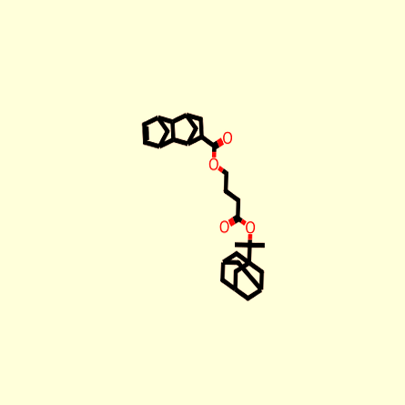 CC(C)(OC(=O)CCCOC(=O)C1CC2CC1C1C3C=CC(C3)C21)C12CC3CC(CC(C3)C1)C2